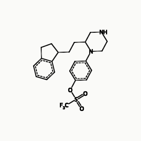 O=S(=O)(Oc1ccc(N2CCNCC2CCC2CCc3ccccc32)cc1)C(F)(F)F